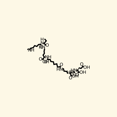 CCC(NC(=O)CCCCCNC)C(=O)NCCCCC(NC(=O)CCCCCCC(=O)NCCCC[C@H](NC(=O)N[C@@H](CCC(=O)O)C(=O)O)C(=O)O)C(=O)O